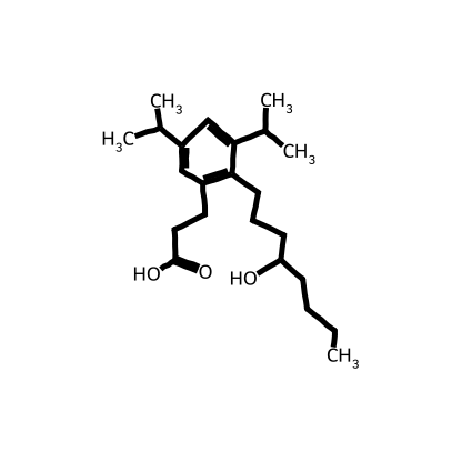 CCCCC(O)CCCc1c(CCC(=O)O)cc(C(C)C)cc1C(C)C